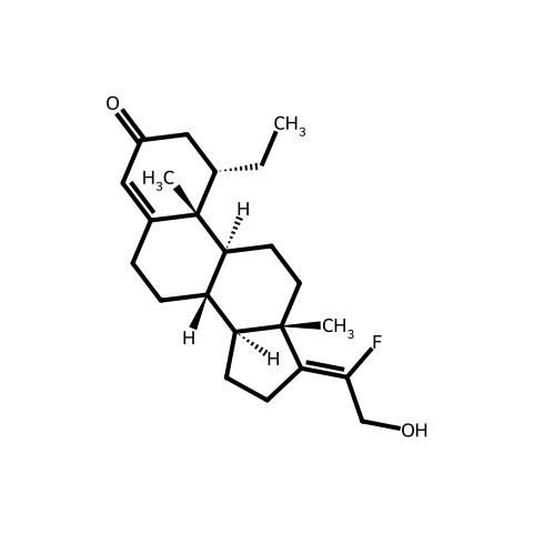 CC[C@H]1CC(=O)C=C2CC[C@@H]3[C@H](CC[C@]4(C)C(=C(F)CO)CC[C@@H]34)[C@]21C